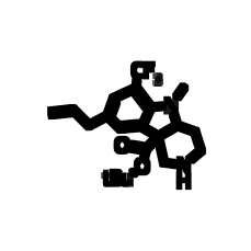 C=CCc1cc(C(F)(F)F)c2c(c1)C1(C(=O)OC(C)(C)C)CNCCC1N2C